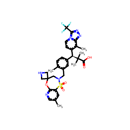 Cc1cnc2c(c1)S(=O)(=O)N(Cc1cc([C@@H](c3ccn4c(C(F)(F)F)nnc4c3C)C(C)(C)C(=O)O)ccc1C)CC1(CNC1)O2